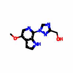 COc1cnc(-n2cnc(CO)n2)c2[nH]ccc12